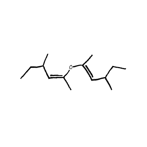 CCC(C)C=C(C)OC(C)=CC(C)CC